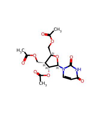 CC(=O)OC[C@H]1[C@@H](OC(C)=O)[C@H](n2ccc(=O)[nH]c2=O)O[C@@H]1COC(C)=O